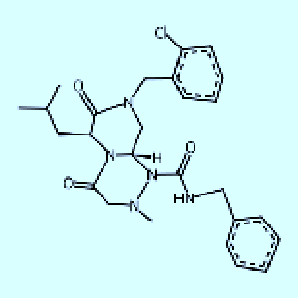 CC(C)C[C@H]1C(=O)N(Cc2ccccc2Cl)C[C@H]2N1C(=O)CN(C)N2C(=O)NCc1ccccc1